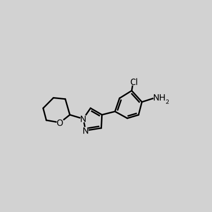 Nc1ccc(-c2cnn(C3CCCCO3)c2)cc1Cl